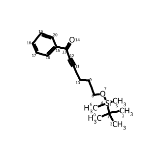 CC(C)(C)[Si](C)(C)OCCCC#CC(=O)c1ccccc1